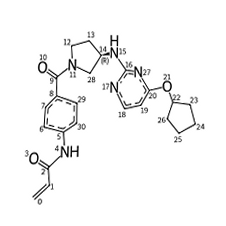 C=CC(=O)Nc1ccc(C(=O)N2CC[C@@H](Nc3nccc(OC4CCCC4)n3)C2)cc1